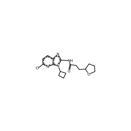 O=C(CCC1CCCO1)Nc1nc2ccc(Cl)nc2n1C1CCC1